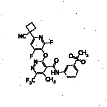 Cc1c(C(F)(F)F)nnc(Oc2c(F)cc(C3(C#N)CCC3)nc2F)c1C(=O)Nc1cccc(S(C)(=O)=O)c1